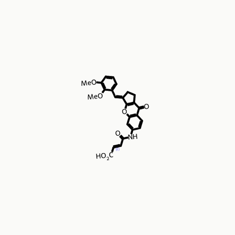 COc1cccc(C=C2CCc3c2oc2cc(NC(=O)/C=C/C(=O)O)ccc2c3=O)c1OC